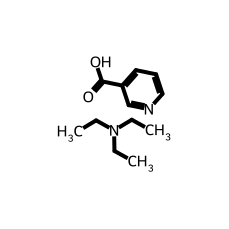 CCN(CC)CC.O=C(O)c1cccnc1